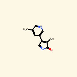 Cc1cncc(C2=C(C#N)C(=O)N=C2)c1